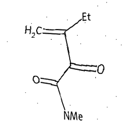 C=C(CC)C(=O)C(=O)NC